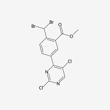 COC(=O)c1cc(-c2nc(Cl)ncc2Cl)ccc1C(Br)Br